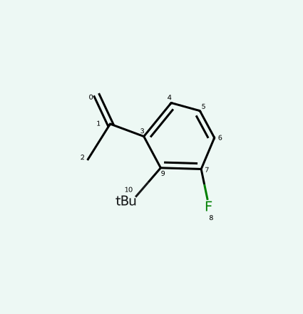 C=C(C)c1cccc(F)c1C(C)(C)C